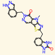 Cn1c2nc(Cc3cccc4[nH]c(=O)[nH]c34)sc2c2cnn(Cc3cccc4[nH]ncc34)c(=O)c21